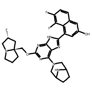 Oc1cc(-c2nc3c(N4CC5CCC(C4)N5)nc(OC[C@@]45CCCN4C[C@H](F)C5)nc3[nH]2)c2c(F)c(F)ccc2c1